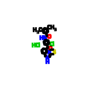 Cc1cc(C)cc(C(=O)Nc2ccc(C(=O)C3CC=CC4=CNC=C5CSCCN5C43)c(Cl)c2)c1.Cl